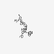 C#Cc1ccc(OCc2cccc(OC3CCN(CC(=C)Nc4ccc(C(=O)CC)cc4NCc4cncn4CC)CC3)n2)c(P)c1